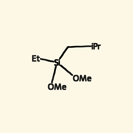 CC[Si](CC(C)C)(OC)OC